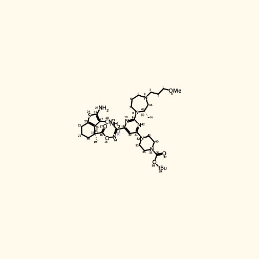 COCCCN1CCCN(c2nc(/C(N)=N/OC(=O)[C@@]3(C)CCCc4sc(N)c(C#N)c43)cc(N3CCN(C(=O)OC(C)(C)C)CC3)n2)[C@@H](C)C1